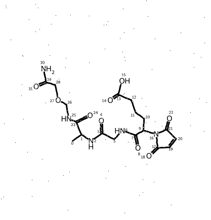 CC(NC(=O)CNC(=O)C(CCCC(=O)O)N1C(=O)C=CC1=O)C(=O)NCOCC(N)=O